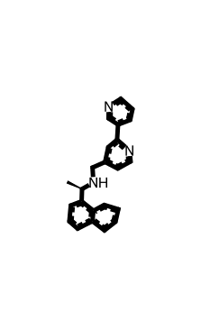 C[C@@H](NCc1ccnc(-c2cccnc2)c1)c1cccc2ccccc12